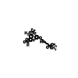 C[C@@H]1Cc2c(ccc3[nH]c(=O)oc23)[C@@H](c2c(F)cc(OCCNC/C=C/C(=O)N(C)C)cc2F)N1CC(F)(F)F